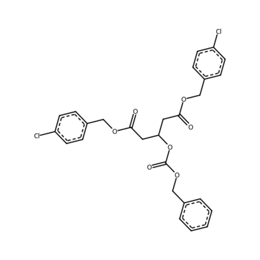 O=C(CC(CC(=O)OCc1ccc(Cl)cc1)OC(=O)OCc1ccccc1)OCc1ccc(Cl)cc1